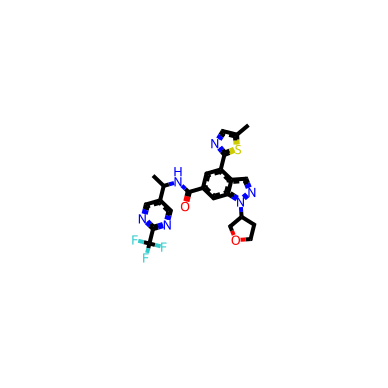 Cc1cnc(-c2cc(C(=O)NC(C)c3cnc(C(F)(F)F)nc3)cc3c2cnn3C2CCOC2)s1